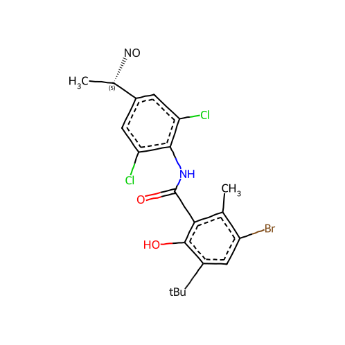 Cc1c(Br)cc(C(C)(C)C)c(O)c1C(=O)Nc1c(Cl)cc([C@H](C)N=O)cc1Cl